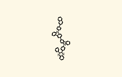 c1ccc(-c2nc3ccccc3nc2-c2ccc(-n3c4ccccc4c4cc(-c5ccc6c(c5)c5ccccc5n6-c5ccc(-c6ccc7ccccc7c6)cc5)ccc43)cc2)cc1